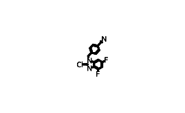 N#Cc1ccc(Cn2c(Cl)nc3c(F)cc(F)cc32)cc1